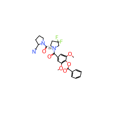 COc1cc(C(=O)N2CC(F)(F)C[C@H]2C(=O)N2CCCC2C#N)cc(OC)c1OC(=O)c1ccccc1